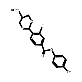 CCCCCCCCC1COC(c2ccc(C(=O)Oc3ccc(CC)cc3)cc2F)OC1